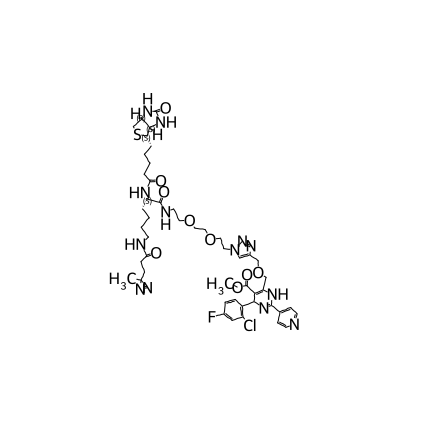 COC(=O)C1=C(COCc2cn(CCOCCOCCNC(=O)[C@H](CCCCNC(=O)CCC3(C)N=N3)NC(=O)CCCC[C@@H]3SC[C@@H]4NC(=O)N[C@@H]43)nn2)NC(c2ccncc2)=NC1c1ccc(F)cc1Cl